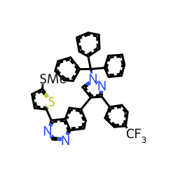 CSc1ccc(-c2ncnc3ccc(-c4cn(C(c5ccccc5)(c5ccccc5)c5ccccc5)nc4-c4ccc(C(F)(F)F)cc4)cc23)s1